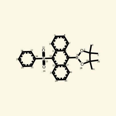 CC1(C)OB(c2c3ccccc3c(S(=O)(=O)c3ccccc3)c3ccccc23)OC1(C)C